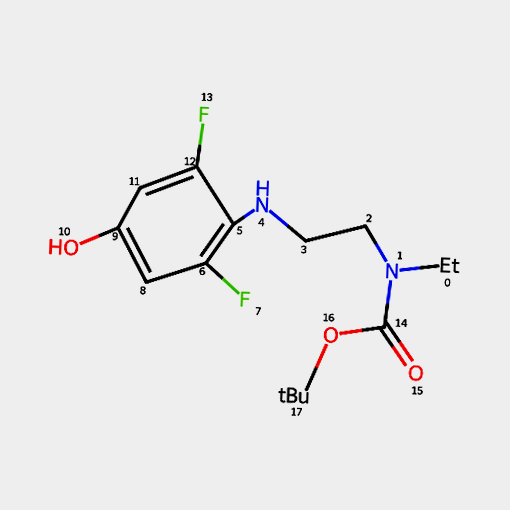 CCN(CCNc1c(F)cc(O)cc1F)C(=O)OC(C)(C)C